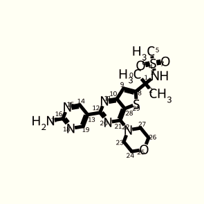 CC(C)(NS(C)(=O)=O)c1cc2nc(-c3cnc(N)nc3)nc(N3CCOCC3)c2s1